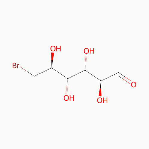 O=C[C@@H](O)[C@@H](O)[C@H](O)[C@H](O)CBr